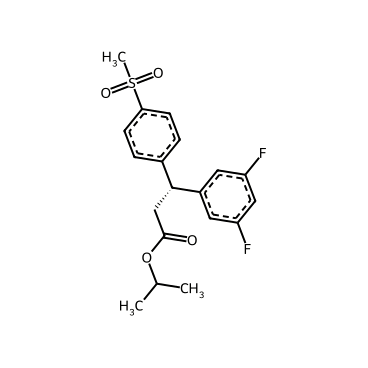 CC(C)OC(=O)C[C@H](c1ccc(S(C)(=O)=O)cc1)c1cc(F)cc(F)c1